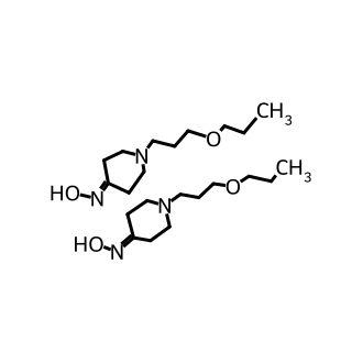 CCCOCCCN1CCC(=NO)CC1.CCCOCCCN1CCC(=NO)CC1